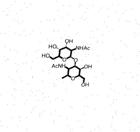 CC(=O)NC1[C@@H](O[C@@H]2C(NC(C)=O)C(C)OC(CO)[C@@H]2O)OC(CO)[C@H](O)[C@@H]1O